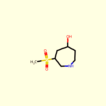 CS(=O)(=O)C1CNCCC(O)C1